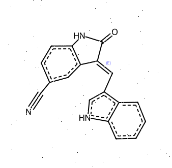 N#Cc1ccc2c(c1)/C(=C\c1c[nH]c3ccccc13)C(=O)N2